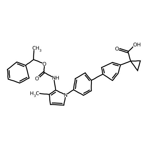 Cc1ccn(-c2ccc(-c3ccc(C4(C(=O)O)CC4)cc3)cc2)c1NC(=O)OC(C)c1ccccc1